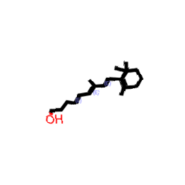 CC1=C(/C=C/C(C)=C/C=C/CCCO)C(C)(C)CCC1